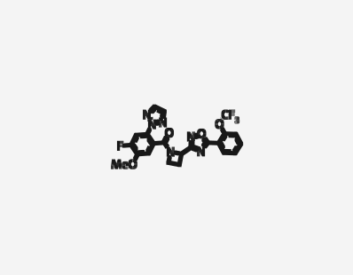 COc1cc(C(=O)N2CCC2c2noc(-c3ccccc3OC(F)(F)F)n2)c(-n2nccn2)cc1F